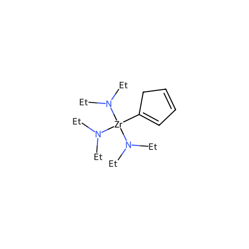 CC[N](CC)[Zr]([C]1=CC=CC1)([N](CC)CC)[N](CC)CC